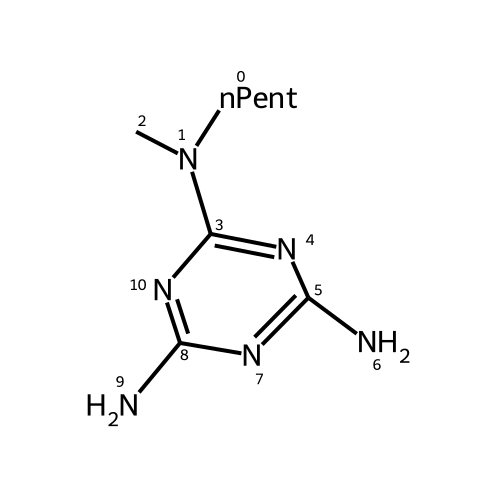 CCCCCN(C)c1nc(N)nc(N)n1